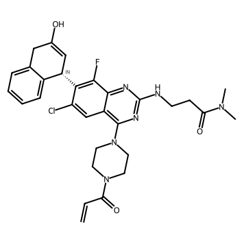 C=CC(=O)N1CCN(c2nc(NCCC(=O)N(C)C)nc3c(F)c([C@H]4C=C(O)Cc5ccccc54)c(Cl)cc23)CC1